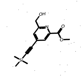 COC(=O)c1cc(C#C[Si](C)(C)C)cc(CO)n1